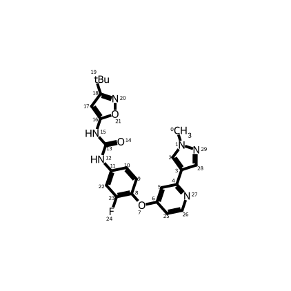 Cn1cc(-c2cc(Oc3ccc(NC(=O)Nc4cc(C(C)(C)C)no4)cc3F)ccn2)cn1